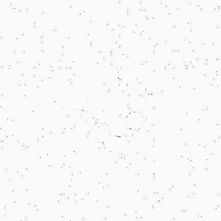 BC[C@H]1COP(=O)(Oc2ccc(C[C@H](NC(=O)OC(C)(C)C)C(C)=O)cc2)CO1